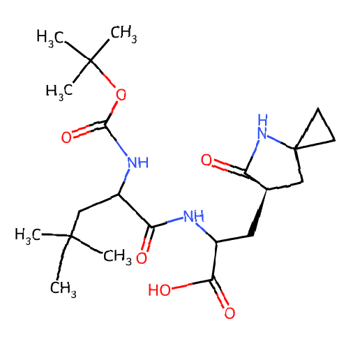 CC(C)(C)CC(NC(=O)OC(C)(C)C)C(=O)NC(C[C@@H]1CC2(CC2)NC1=O)C(=O)O